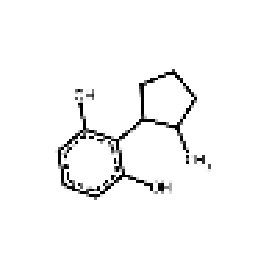 CC1CCCC1c1c(O)cccc1O